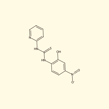 O=[N+]([O-])c1ccc(NC(=S)Nc2ccccn2)c(O)c1